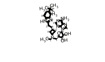 CCN(C[C@H]1O[C@@H](n2cnc3c(N)ncnc32)[C@H](O)[C@@H]1O)[C@H]1C[C@H](CCc2nc3cc(C(C)(C)C)ccc3[nH]2)C1